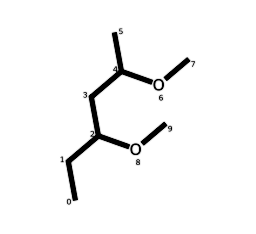 CCC(CC(C)OC)OC